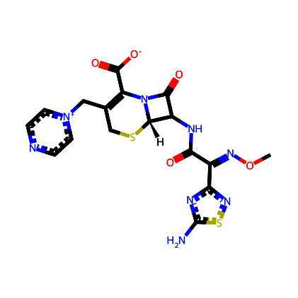 CON=C(C(=O)NC1C(=O)N2C(C(=O)[O-])=C(C[n+]3ccncc3)CS[C@@H]12)c1nsc(N)n1